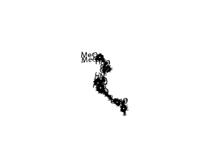 COc1ccc(CNC(=O)C(=O)[C@@H]2CCCN2C(=O)CNC(=O)c2ccnc3ccc(OCCCN4CCN(C(=O)c5ccc(I)cc5)CC4)cc23)cc1OC